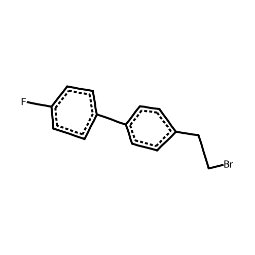 Fc1ccc(-c2ccc(CCBr)cc2)cc1